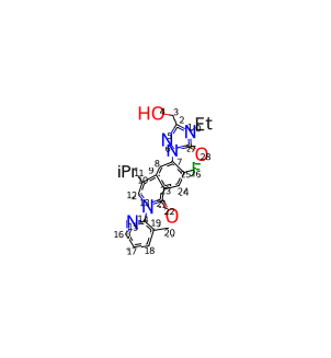 CCn1c(CO)nn(-c2cc3c(C(C)C)cn(-c4ncccc4C)c(=O)c3cc2F)c1=O